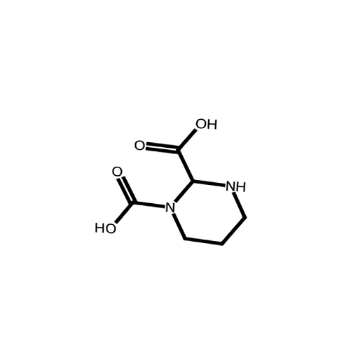 O=C(O)C1NCCCN1C(=O)O